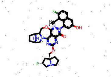 C#Cc1c(F)ccc2cc(O)cc(-n3nc4c5c(nc(OC[C@@]67CCCN6C[C@H](F)C7)nc5c3=O)N3CC5CCC(N5)C3CO4)c12